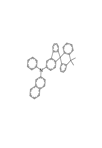 CC1(C)c2ccccc2C2(c3ccccc3-c3cc(N(c4ccccc4)c4ccc5ccccc5c4)ccc32)c2ccccc21